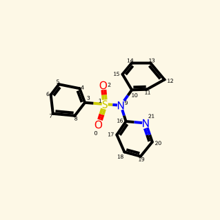 O=S(=O)(c1ccccc1)N(c1ccccc1)c1ccccn1